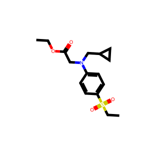 CCOC(=O)CN(CC1CC1)c1ccc(S(=O)(=O)CC)cc1